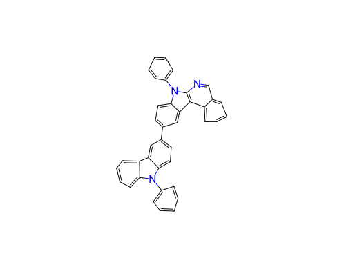 c1ccc(-n2c3ccccc3c3cc(-c4ccc5c(c4)c4c6ccccc6cnc4n5-c4ccccc4)ccc32)cc1